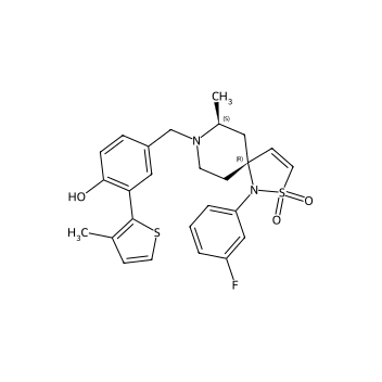 Cc1ccsc1-c1cc(CN2CC[C@]3(C=CS(=O)(=O)N3c3cccc(F)c3)C[C@@H]2C)ccc1O